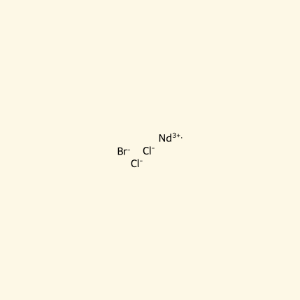 [Br-].[Cl-].[Cl-].[Nd+3]